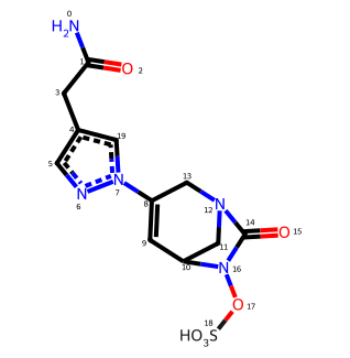 NC(=O)Cc1cnn(C2=CC3CN(C2)C(=O)N3OS(=O)(=O)O)c1